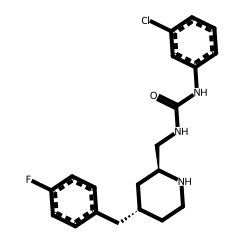 O=C(NC[C@@H]1C[C@@H](Cc2ccc(F)cc2)CCN1)Nc1cccc(Cl)c1